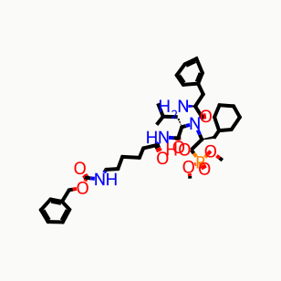 COP(=O)(OC)C(O)[C@H](CC1CCCCC1)N(C(=O)[C@@H](N)Cc1ccccc1)[C@@H](CC(C)C)C(=O)NC(=O)CCCCCNC(=O)OCc1ccccc1